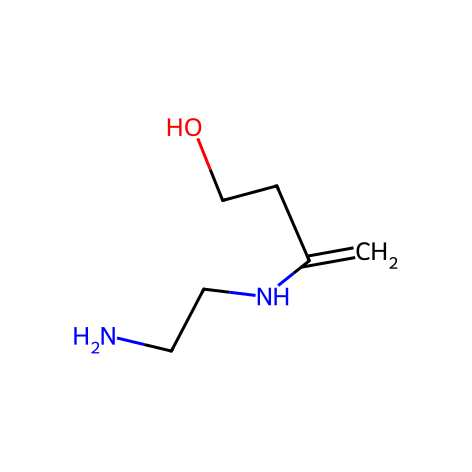 C=C(CCO)NCCN